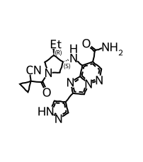 CC[C@@H]1CN(C(=O)C2(C#N)CC2)C[C@H]1Nc1c(C(N)=O)cnn2cc(-c3cn[nH]c3)nc12